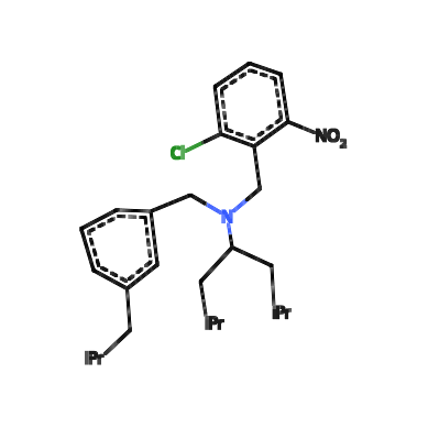 CC(C)Cc1cccc(CN(Cc2c(Cl)cccc2[N+](=O)[O-])C(CC(C)C)CC(C)C)c1